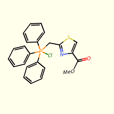 COC(=O)c1csc(CP(Cl)(c2ccccc2)(c2ccccc2)c2ccccc2)n1